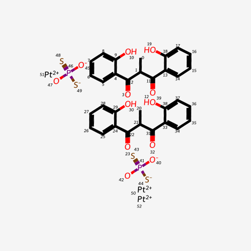 CC(C(=O)c1ccccc1O)C(=O)c1ccccc1O.CC(C(=O)c1ccccc1O)C(=O)c1ccccc1O.[O-]P([O-])(=S)[S-].[O-]P([O-])(=S)[S-].[Pt+2].[Pt+2].[Pt+2]